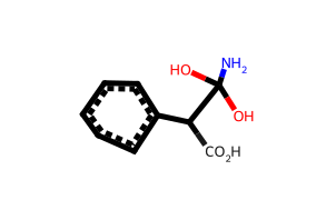 NC(O)(O)C(C(=O)O)c1ccccc1